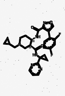 O=C(N[C@H]1CCN(CC2CC2)C[C@@H]1C(=O)NC1(c2ncccn2)CC1)c1nocc1-c1ccc(F)cc1F